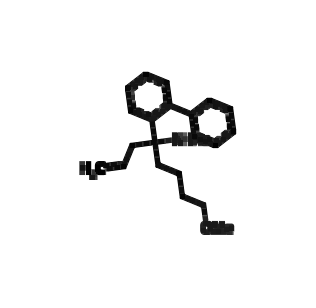 C=CCC(CCCCOC)(NC(C)=O)c1ccccc1-c1ccccc1